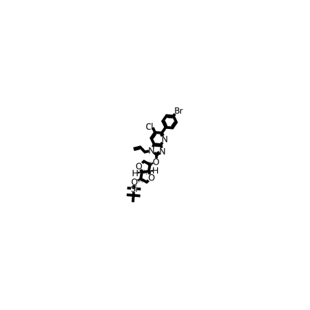 C=CCn1c(O[C@@H]2CO[C@@H]3[C@H]2OC[C@H]3O[Si](C)(C)C(C)(C)C)nc2nc(-c3ccc(Br)cc3)c(Cl)cc21